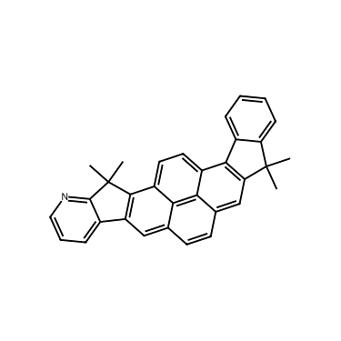 CC1(C)c2ccccc2-c2c1cc1ccc3cc4c(c5ccc2c1c35)C(C)(C)c1ncccc1-4